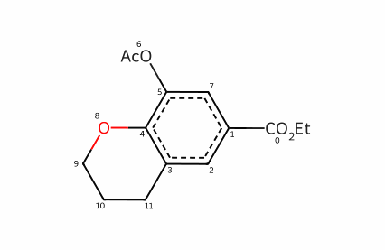 CCOC(=O)c1cc2c(c(OC(C)=O)c1)OCCC2